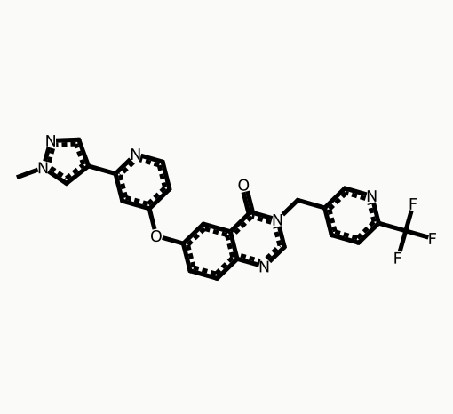 Cn1cc(-c2cc(Oc3ccc4ncn(Cc5ccc(C(F)(F)F)nc5)c(=O)c4c3)ccn2)cn1